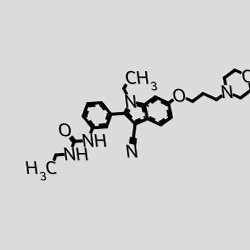 CCNC(=O)Nc1cccc(-c2c(C#N)c3ccc(OCCCN4CCOCC4)cc3n2CC)c1